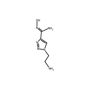 NCCn1cc(/C(N)=N/O)nn1